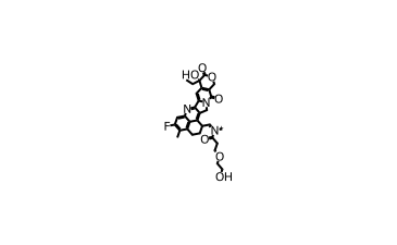 CC[C@@]1(O)C(=O)OCc2c1cc1n(c2=O)Cc2c-1nc1cc(F)c(C)c3c1c2C(/C=[N+](/C)C(=O)CCOCCO)CC3